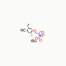 C=Cc1cc(OC[C@H]2[C@H](C)OC(C)(C)N2C(=O)OC(C)(C)C)c(F)cc1C#N